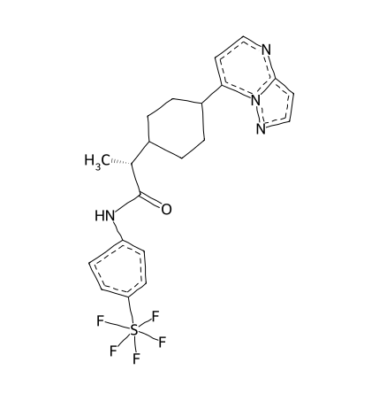 C[C@@H](C(=O)Nc1ccc(S(F)(F)(F)(F)F)cc1)C1CCC(c2ccnc3ccnn23)CC1